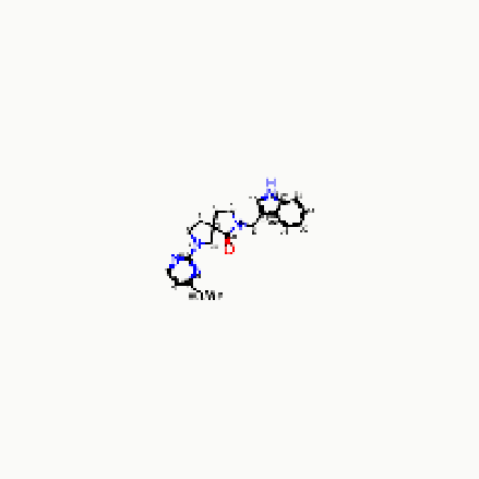 COc1ccnc(N2CCC3(CCN(Cc4c[nH]c5ccccc45)C3=O)C2)n1